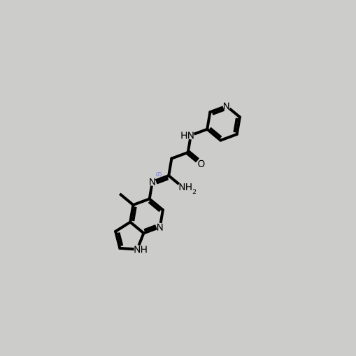 Cc1c(/N=C(\N)CC(=O)Nc2cccnc2)cnc2[nH]ccc12